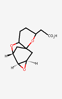 O=C(O)CC1CCC2O[C@@H]3CC2(C[C@H]2O[C@@H]32)O1